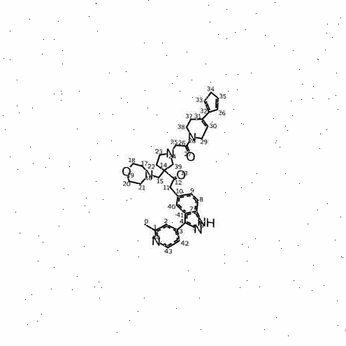 Cc1cc(-c2n[nH]c3ccc(CC(=O)C4(CN5CCOCC5)CCN(CC(=O)N5CC=C(C6=CCC=C6)CC5)C4)cc23)ccn1